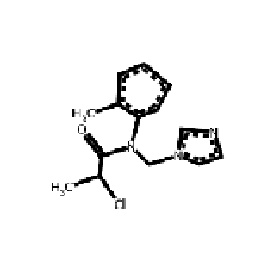 Cc1ccccc1N(Cn1ccnc1)C(=O)C(C)Cl